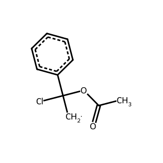 [CH2]C(Cl)(OC(C)=O)c1ccccc1